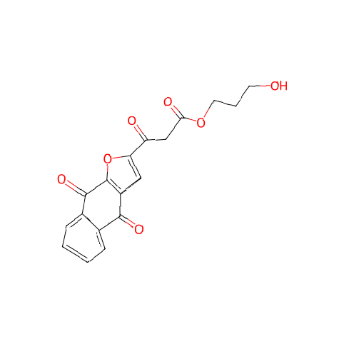 O=C(CC(=O)c1cc2c(o1)C(=O)c1ccccc1C2=O)OCCCO